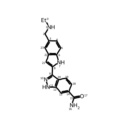 CCNCc1ccc2[nH]c(-c3n[nH]c4cc(C(N)=O)ccc34)cc2c1